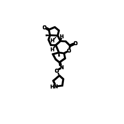 C[C@]12CC/C(=N\O[C@@H]3CCNC3)CC1OC(=O)C[C@@H]1[C@@H]2CC[C@]2(C)C(=O)CC[C@@H]12